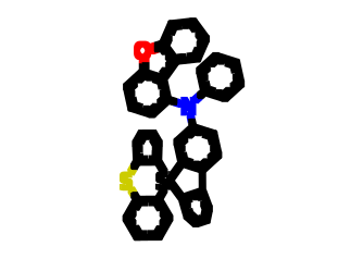 c1ccc(N(c2ccc3c(c2)[Si]2(c4ccccc4Sc4ccccc42)c2ccccc2-3)c2cccc3oc4ccccc4c23)cc1